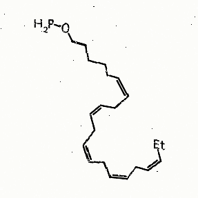 CC/C=C\C/C=C\C/C=C\C/C=C\C/C=C\CCCCCOP